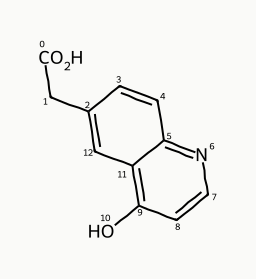 O=C(O)Cc1ccc2nccc(O)c2c1